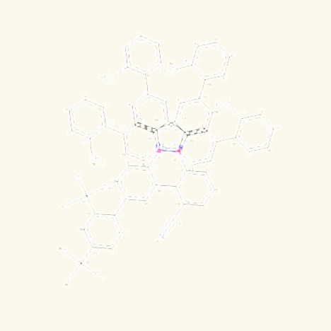 Cc1ccccc1-c1ccc2c(c1)c1cc(-c3ccccc3C)ccc1n2-c1ccc(-c2ccc(C(F)(F)F)cc2C(F)(F)F)cc1-c1c(C#N)cccc1-n1c2ccc(-c3ccccc3C)cc2c2cc(-c3ccccc3C)ccc21